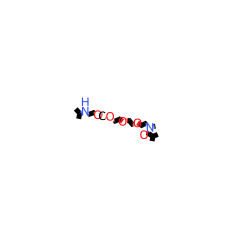 CC(C)NCCOCCOCCOCCOCCN(C)C(=O)C(C)C